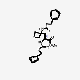 COC(=O)/C(=C/C1(NC(=O)OCc2ccccc2)COC1)NC(=O)OCc1ccccc1